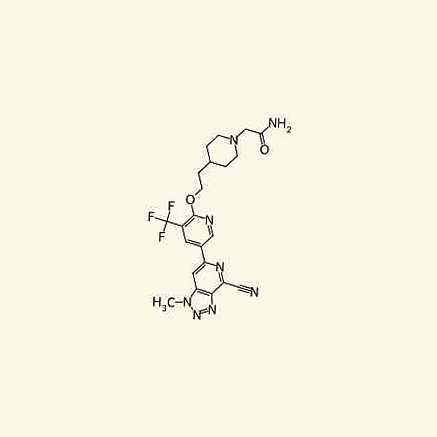 Cn1nnc2c(C#N)nc(-c3cnc(OCCC4CCN(CC(N)=O)CC4)c(C(F)(F)F)c3)cc21